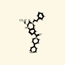 O=C(O)C[C@H]1Nc2ccc(C(=O)N3CCC(C4CCNCC4)CC3)cc2CN(CCc2ccccc2)C1=O